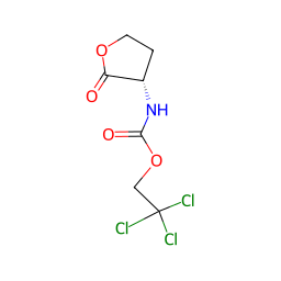 O=C(N[C@H]1CCOC1=O)OCC(Cl)(Cl)Cl